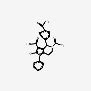 CC(=O)c1ccc(C2c3c(C(N)=O)c(Cl)n(-c4ccccc4)c3CCN2C(N)=O)cc1